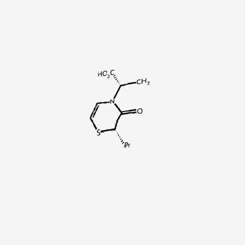 CC(C)[C@@H]1SC=CN([C@@H](C)C(=O)O)C1=O